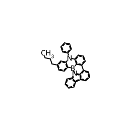 CCCCc1ccc2c(c1)N(c1ccccc1)c1cccc3c1B2n1c2ccccc2c2cccc-3c21